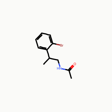 CC(=O)NCC(C)c1ccccc1Br